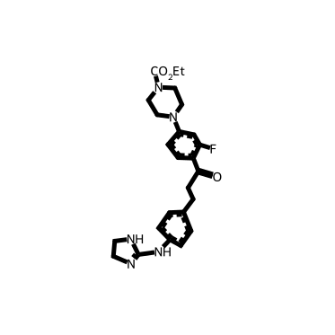 CCOC(=O)N1CCN(c2ccc(C(=O)CCc3ccc(NC4=NCCN4)cc3)c(F)c2)CC1